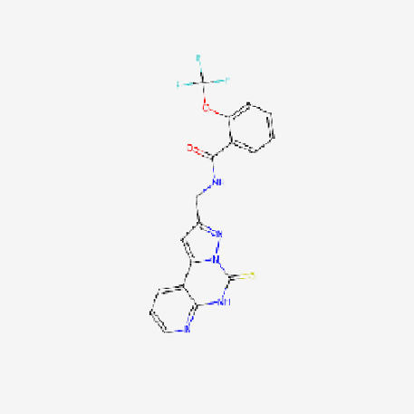 O=C(NCc1cc2c3cccnc3[nH]c(=S)n2n1)c1ccccc1OC(F)(F)F